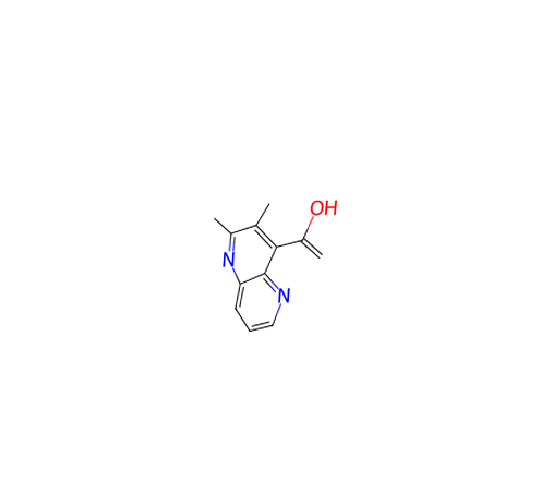 C=C(O)c1c(C)c(C)nc2cccnc12